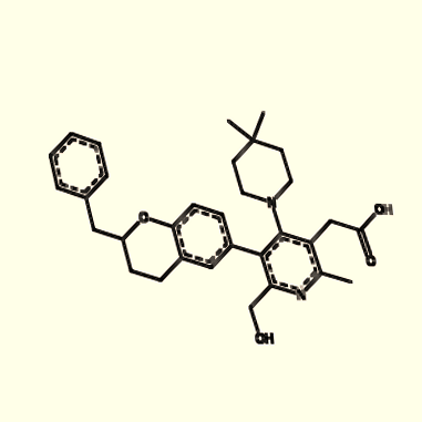 Cc1nc(CO)c(-c2ccc3c(c2)CCC(Cc2ccccc2)O3)c(N2CCC(C)(C)CC2)c1CC(=O)O